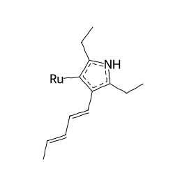 CC=CC=Cc1c(CC)[nH]c(CC)[c]1[Ru]